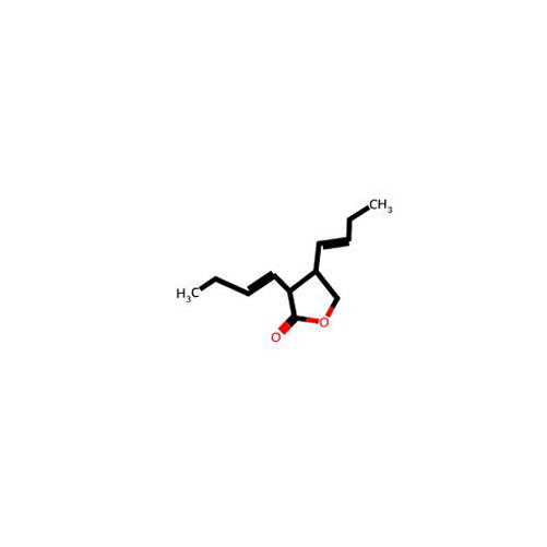 CCC=CC1C(=O)OCC1/C=C/CC